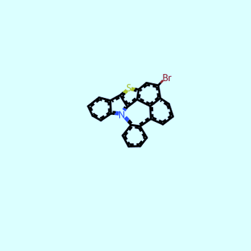 Brc1cc2sc3c4ccccc4n4c5ccccc5c5cccc1c5c2c34